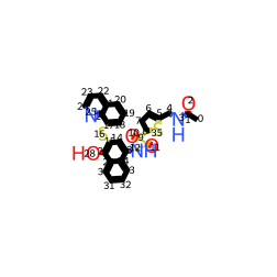 CC(=O)NCC1=CCC(S(=O)(=O)Nc2cc(Sc3cccc4cccnc34)c(O)c3ccccc23)S1